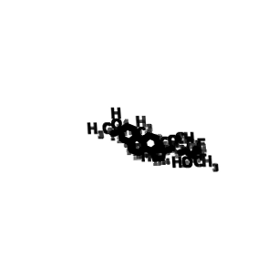 CC[C@]1(O)CC[C@@]2(C)C(=CC[C@H]3[C@@H]4CC[C@H]([C@@H](CC[C@](C)(O)C(F)(F)F)OC)[C@@]4(C)CC[C@@H]32)C1